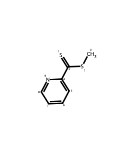 CSC(=S)c1ccccn1